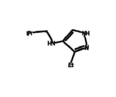 CCc1n[nH]cc1NCC(C)C